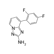 Nc1nc2c(-c3ccc(F)cc3F)cccn2n1